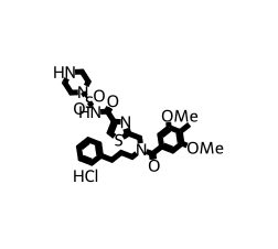 COc1cc(C(=O)N(CCCc2ccccc2)Cc2nc(C(=O)NS(=O)(=O)N3CCNCC3)cs2)cc(OC)c1C.Cl